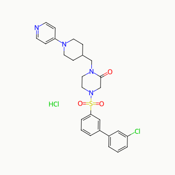 Cl.O=C1CN(S(=O)(=O)c2cccc(-c3cccc(Cl)c3)c2)CCN1CC1CCN(c2ccncc2)CC1